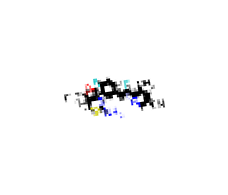 Cc1cc(C#N)cnc1/C(F)=C/c1ccc(F)c([C@]23CO[C@H](C(F)(F)F)[C@H]2CSC(N)=N3)c1